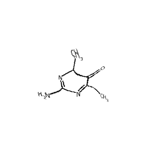 CC1=NC(N)=NC(C)C1=O